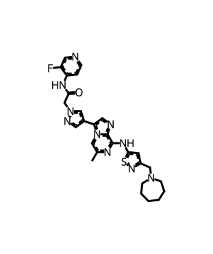 Cc1cn2c(-c3cnn(CC(=O)Nc4ccncc4F)c3)cnc2c(Nc2cc(CN3CCCCCC3)ns2)n1